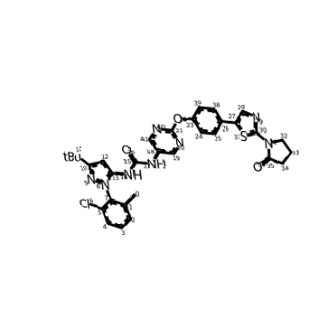 Cc1cccc(Cl)c1-n1nc(C(C)(C)C)cc1NC(=O)Nc1cnc(Oc2ccc(-c3cnc(N4CCCC4=O)s3)cc2)nc1